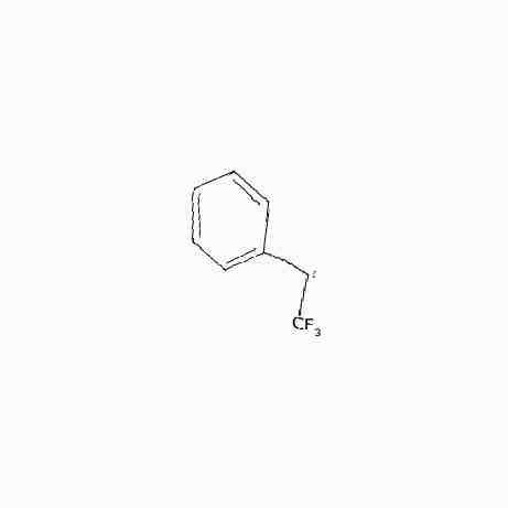 FC(F)(F)[C]c1ccccc1